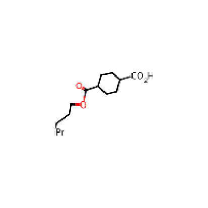 CC(C)CCCOC(=O)C1CCC(C(=O)O)CC1